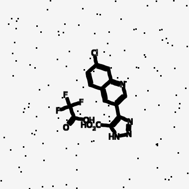 O=C(O)C(F)(F)F.O=C(O)c1[nH]nnc1-c1cnc2cc(Cl)ccc2c1